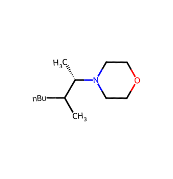 CCCCC(C)[C@H](C)N1CCOCC1